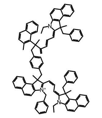 C=C(C=CC=C1N(CC)c2ccc3ccccc3c2C1(C)Cc1ccccc1)C(C)(Cc1ccc(CC2(C)C(C=CC=C3N(CC)c4ccc5ccccc5c4C3(C)Cc3ccccc3)=[N+](Cc3ccccc3)c3ccc4ccccc4c32)cc1)c1c(C)ccc2ccccc12